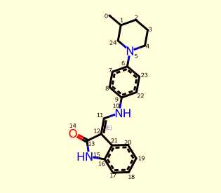 CC1CCCN(c2ccc(N/C=C3/C(=O)Nc4ccccc43)cc2)C1